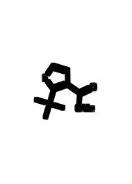 COC(=O)c1ccsc1[Si](C)(C)C